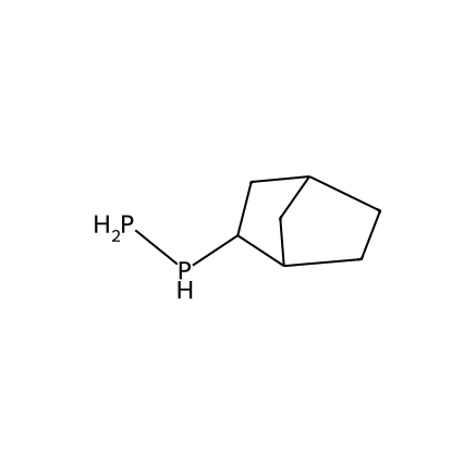 PPC1CC2CCC1C2